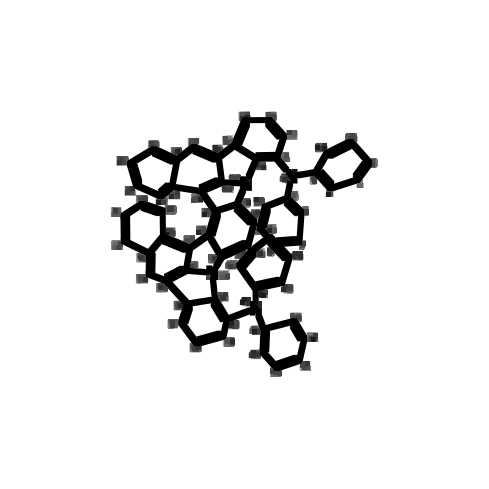 c1ccc(N(c2ccccc2)c2cccc3c4cc5ccccc5c5c6c7c8c9ccccc9cc9c%10cccc(N(c%11ccccc%11)c%11ccccc%11)c%10n(c7ccc6n(c23)c45)c98)cc1